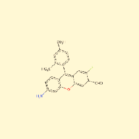 Nc1ccc2c(c1)OC1=CC(C=O)C(F)=CC1=C2c1ccc(C(=O)O)cc1C(=O)O